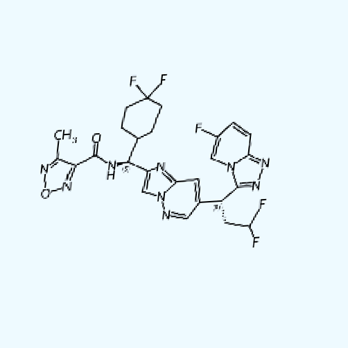 Cc1nonc1C(=O)N[C@H](c1cn2ncc([C@@H](CC(F)F)c3nnc4ccc(F)cn34)cc2n1)C1CCC(F)(F)CC1